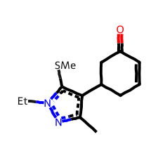 CCn1nc(C)c(C2CC=CC(=O)C2)c1SC